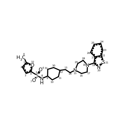 Cc1ccc(S(=O)(=O)NC2CCC(CCN3CCN(c4nsc5ccccc45)CC3)CC2)o1